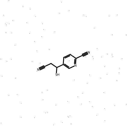 N#CCC(S)c1ccc(C#N)nc1